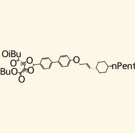 CCCCC[C@H]1CC[C@H](C=CCOc2ccc(-c3ccc(C4O[C@@H](C(=O)OCC(C)C)[C@H](C(=O)OCC(C)C)O4)cc3)cc2)CC1